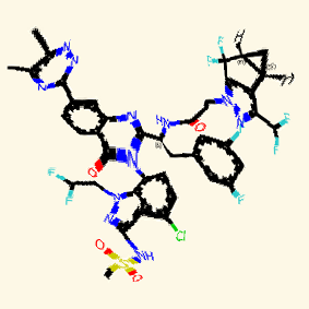 Cc1nnc(-c2ccc3c(=O)n(-c4ccc(Cl)c5c(NS(C)(=O)=O)nn(CC(F)F)c45)c([C@H](Cc4cc(F)cc(F)c4)NC(=O)Cn4nc(C(F)F)c5c4C(F)(F)[C@@H]4C[C@H]54)nc3c2)nc1C